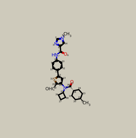 Cn1cnc(C(=O)Nc2ccc(-c3cc(N(C(=O)[C@H]4CC[C@H](C)CC4)C4CCC4)c(C=O)s3)cc2)c1